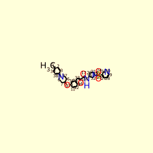 Cc1ccc(N2CCC(Oc3ccc4oc(C(=O)N[C@@H]5CCN(S(=O)(=O)c6cccnc6)C5)cc4c3)CC2)cc1